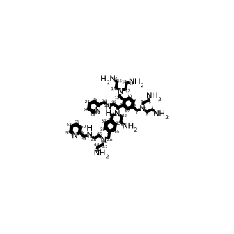 NCCN(CCN)Cc1ccc(CN(CCN)CCN)c(C(CNCc2ccccn2)N(CCN)Cc2ccc(CN(CCN)CCNCc3ccccn3)cc2)c1